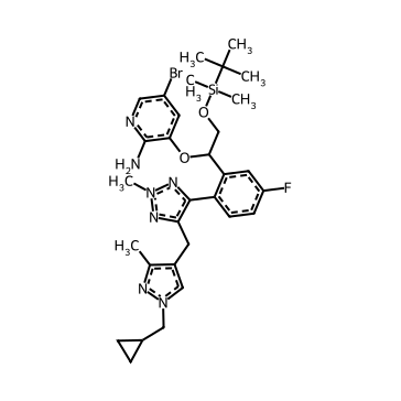 Cc1nn(CC2CC2)cc1Cc1nn(C)nc1-c1ccc(F)cc1C(CO[Si](C)(C)C(C)(C)C)Oc1cc(Br)cnc1N